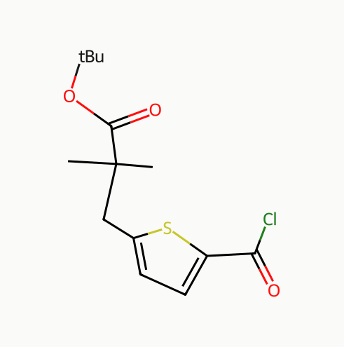 CC(C)(C)OC(=O)C(C)(C)Cc1ccc(C(=O)Cl)s1